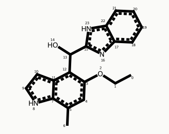 CCOc1cc(C)c2[nH]ccc2c1C(O)c1nc2ccccc2[nH]1